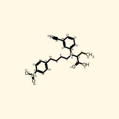 CCC(C(=O)O)N(CCCCc1ccc([N+](=O)[O-])cc1)c1cccc(C#N)c1